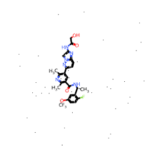 Cc1nc(C)c(-c2ccc3nc(NC(=O)CO)cn3n2)cc1C(=O)N[C@H](C)c1cc(OC(F)(F)F)ccc1F